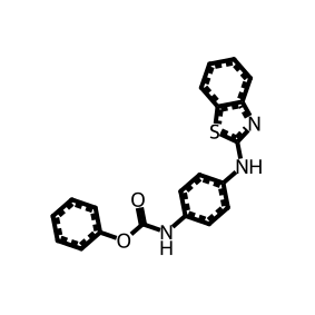 O=C(Nc1ccc(Nc2nc3ccccc3s2)cc1)Oc1ccccc1